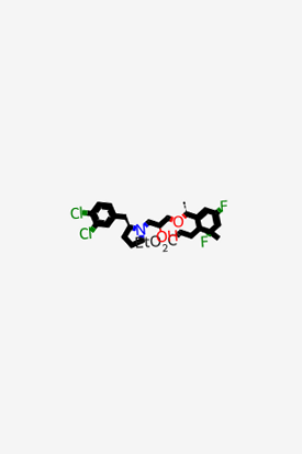 CCOC(=O)CCC1C([C@@H](C)OC[C@H](O)CN2CCC[C@H]2Cc2ccc(Cl)c(Cl)c2)=CC(F)=CC1(C)F